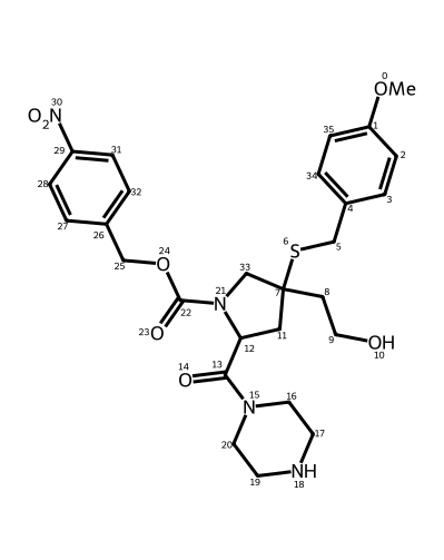 COc1ccc(CSC2(CCO)CC(C(=O)N3CCNCC3)N(C(=O)OCc3ccc([N+](=O)[O-])cc3)C2)cc1